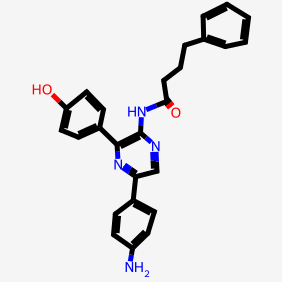 Nc1ccc(-c2cnc(NC(=O)CCCc3ccccc3)c(-c3ccc(O)cc3)n2)cc1